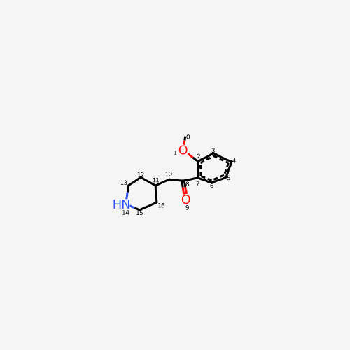 COc1ccccc1C(=O)CC1CCNCC1